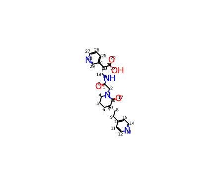 O=C(CN1CCC[C@@H](CCc2ccncc2)C1=O)NC[C@@H](C(=O)O)c1cccnc1